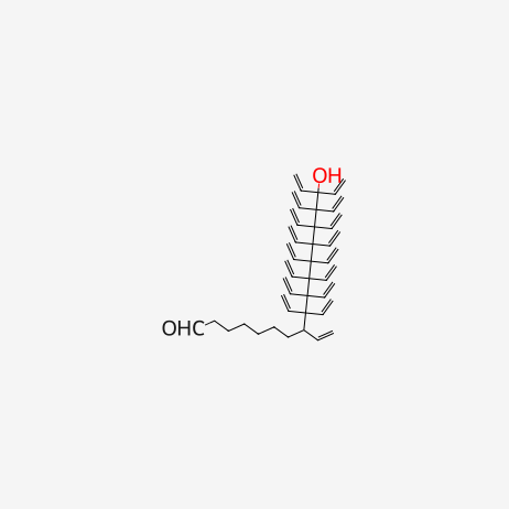 C=CC(CCCCCCC=O)C(C=C)(C=C)C(C=C)(C=C)C(C=C)(C=C)C(C=C)(C=C)C(C=C)(C=C)C(C=C)(C=C)C(C=C)(C=C)C(O)(C=C)C=C